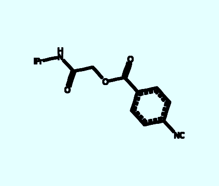 [C-]#[N+]c1ccc(C(=O)OCC(=O)NC(C)C)cc1